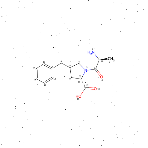 C[C@H](N)C(=O)N1CC(Cc2ccccc2)C[C@H]1C(=O)O